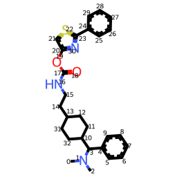 CN(C)C(c1ccccc1)C1CCC(CCNC(=O)Oc2csc(-c3ccccc3)n2)CC1